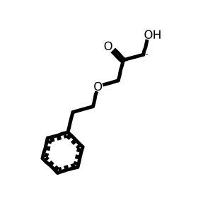 O=C([CH]O)COCCc1ccccc1